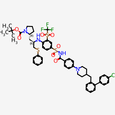 CC(C)(C)OC(=O)N1CCC[C@@H]1C[C@H](CSc1ccccc1)Nc1ccc(S(=O)(=O)NC(=O)c2ccc(N3CCC(Cc4ccccc4-c4ccc(Cl)cc4)CC3)cc2)cc1S(=O)(=O)C(F)(F)F